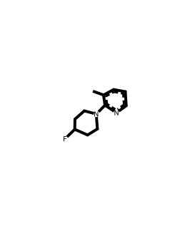 Cc1cccnc1N1CCC(F)CC1